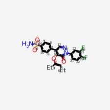 CCC=C(CC)Oc1c(-c2ccc(S(N)(=O)=O)cc2)cnn(-c2ccc(F)c(F)c2)c1=O